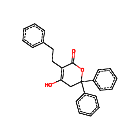 O=C1OC(c2ccccc2)(c2ccccc2)CC(O)=C1CCc1ccccc1